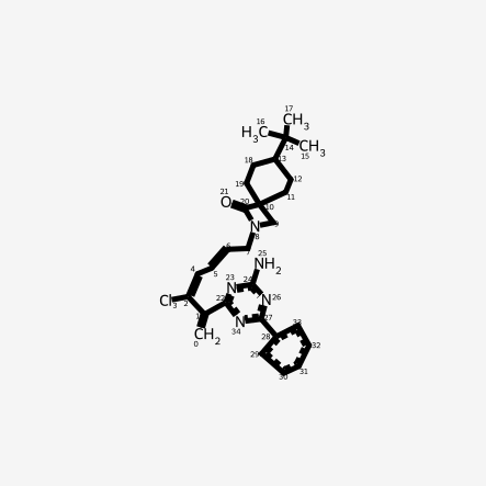 C=C(/C(Cl)=C\C=C\CN1CC2(CCC(C(C)(C)C)CC2)C1=O)c1nc(N)nc(-c2ccccc2)n1